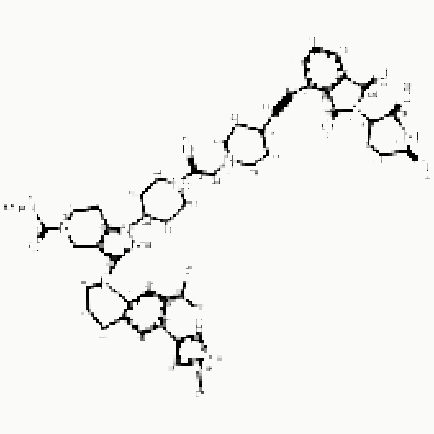 CNC(=O)N1CCc2c(c(N3CCCc4cc(-c5cnn(C)c5)c(C(F)F)cc43)nn2C2CCN(C(=O)CN3CCC(C#Cc4cccc5c4C(=O)N(C4CCC(=O)NC4=O)C5=O)CC3)CC2)C1